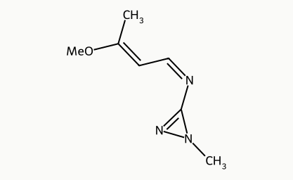 CO/C(C)=C/C=N\C1=NN1C